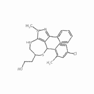 Cc1cc(Cl)ccc1C1SC(CCO)CNc2c1c(-c1ccccn1)nn2C